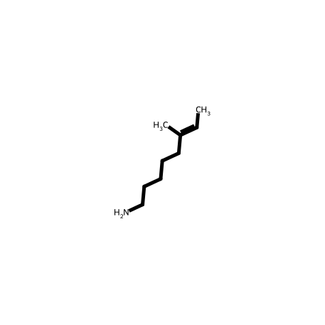 C/C=C(\C)CCCCCN